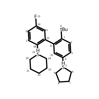 CC(C)(C)c1ccc([SH]2CCCC2)cc1-c1cc(F)ccc1[SH]1CCCCC1